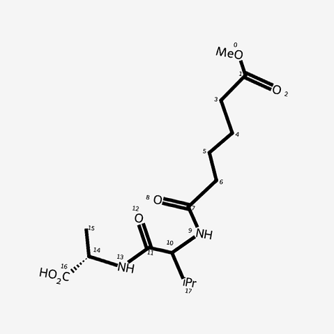 COC(=O)CCCCC(=O)NC(C(=O)N[C@@H](C)C(=O)O)C(C)C